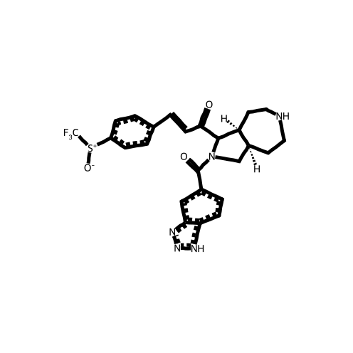 O=C(C=Cc1ccc([S+]([O-])C(F)(F)F)cc1)C1[C@H]2CCNCC[C@H]2CN1C(=O)c1ccc2[nH]nnc2c1